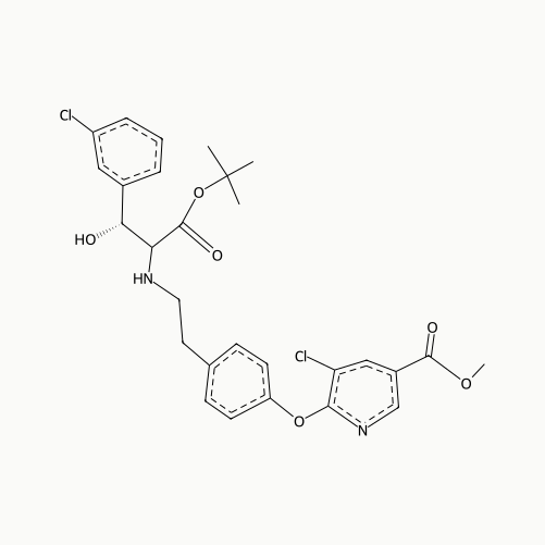 COC(=O)c1cnc(Oc2ccc(CCNC(C(=O)OC(C)(C)C)[C@H](O)c3cccc(Cl)c3)cc2)c(Cl)c1